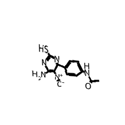 [C-]#[N+]c1c(N)nc(S)nc1-c1ccc(NC(C)=O)cc1